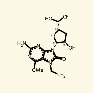 COc1nc(N)nc2c1n(CC(F)(F)F)c(=O)n2[C@@H]1O[C@H](C(O)C(F)(F)F)C[C@H]1O